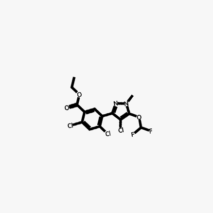 CCOC(=O)c1cc(-c2nn(C)c(OC(F)F)c2Cl)c(Cl)cc1Cl